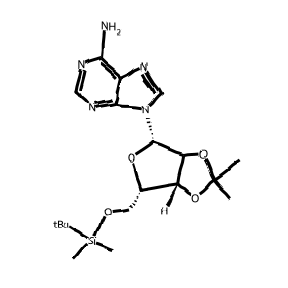 CC1(C)OC2[C@H](O1)[C@H](CO[Si](C)(C)C(C)(C)C)O[C@@H]2n1cnc2c(N)ncnc21